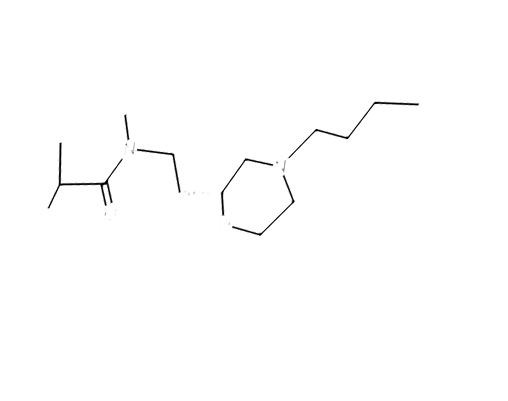 CCCCN1CCO[C@H](CCN(C)C(=O)C(C)C)C1